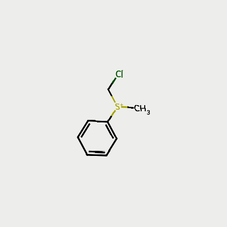 C[S+](CCl)c1ccccc1